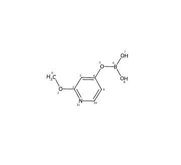 COc1cc(OB(O)O)ccn1